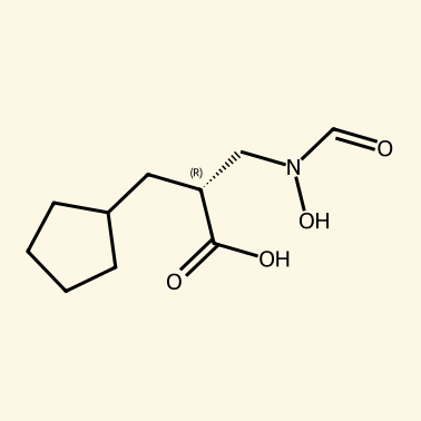 O=CN(O)C[C@@H](CC1CCCC1)C(=O)O